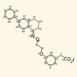 O=C(O)Cc1cccc(OCCO/N=C2\CCCc3cc(-c4ccccc4)ccc32)c1